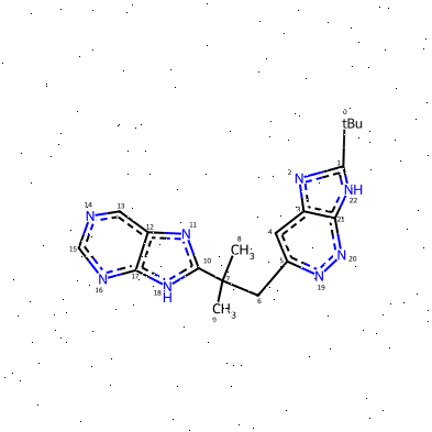 CC(C)(C)c1nc2cc(CC(C)(C)c3nc4cncnc4[nH]3)nnc2[nH]1